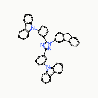 c1cc(-c2nc(-c3cccc(-n4c5ccccc5c5ccccc54)c3)n(-c3ccc4c(c3)-c3ccccc3C4)n2)cc(-n2c3ccccc3c3ccccc32)c1